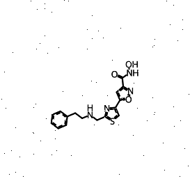 O=C(NO)c1cc(-c2csc(CNCCc3ccccc3)n2)on1